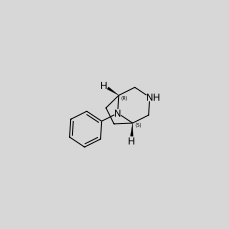 c1ccc(N2[C@@H]3CC[C@H]2CNC3)cc1